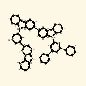 c1ccc(-c2cc(-c3ccccc3)nc(-n3c4ccccc4c4cc(-c5ccc6c7ccccc7n(-c7cncc(-c8ccc9sc%10cccnc%10c9n8)c7)c6c5)ccc43)c2)cc1